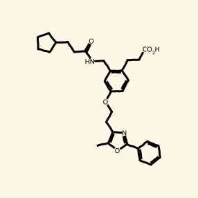 Cc1oc(-c2ccccc2)nc1CCOc1ccc(CCC(=O)O)c(CNC(=O)CCC2CCCC2)c1